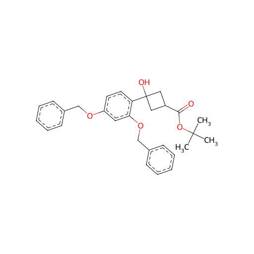 CC(C)(C)OC(=O)C1CC(O)(c2ccc(OCc3ccccc3)cc2OCc2ccccc2)C1